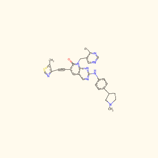 CCc1ncncc1Cn1c(=O)c(C#Cc2ncsc2C)cc2cnc(Nc3ccc(C4CCN(C)C4)cc3)nc21